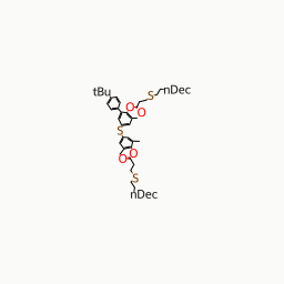 CCCCCCCCCCCCSCCC(=O)Oc1c(C)cc(Sc2cc(C)c(OC(=O)CCSCCCCCCCCCCCC)c(-c3ccc(C(C)(C)C)cc3)c2)cc1C